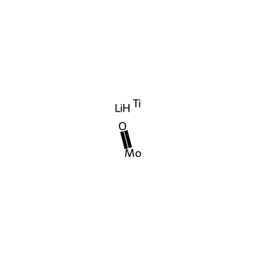 [LiH].[O]=[Mo].[Ti]